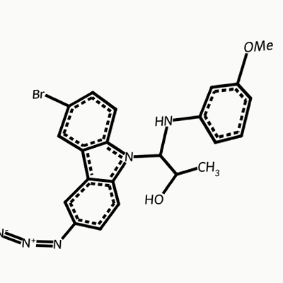 COc1cccc(NC(C(C)O)n2c3ccc(Br)cc3c3cc(N=[N+]=[N-])ccc32)c1